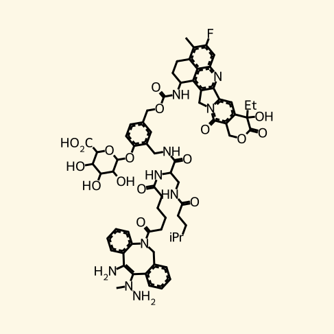 CCC1(O)C(=O)OCc2c1cc1n(c2=O)Cc2c-1nc1cc(F)c(C)c3c1c2C(NC(=O)OCc1ccc(OC2OC(C(=O)O)C(O)C(O)C2O)c(CNC(=O)C(CNC(=O)CCC(C)C)NC(=O)CCCCC(=O)N2Cc4ccccc4/C(N(C)N)=C(/N)c4ccccc42)c1)CC3